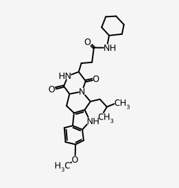 COc1ccc2c3c([nH]c2c1)C(CC(C)C)N1C(=O)C(CCC(=O)NC2CCCCC2)NC(=O)C1C3